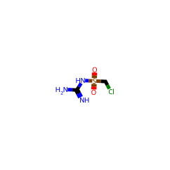 N=C(N)NS(=O)(=O)CCl